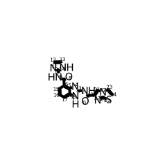 O=C(Nc1nc2c(C(=O)Nc3ncc[nH]3)cccc2[nH]1)c1cn2ccsc2n1